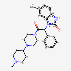 CN1CCC(N2CCN(C(=O)C(c3ccccc3)n3c(=O)[nH]c4ccc(C#N)cc43)CC2)CC1